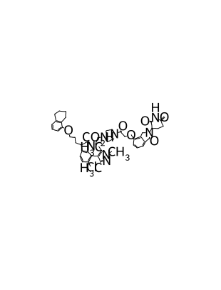 Cc1nn(C)c(C)c1-c1c(Cl)ccc2c1N(CCN1CCN(C(=O)COc3cccc4c3CN(C3CCC(=O)NC3=O)C4=O)CC1)C(C(=O)O)C2CCCOc1cccc2c1CCCC2